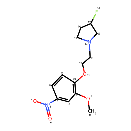 COc1cc([N+](=O)[O-])ccc1OCCN1CCC(F)C1